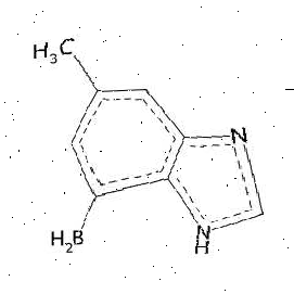 Bc1cc(C)cc2nc[nH]c12